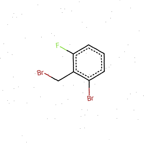 Fc1cccc(Br)c1CBr